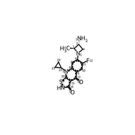 C[C@H]1[C@H](N)CN1c1cc2c(cc1F)c(=O)c1c(=O)[nH]sc1n2C1CC1